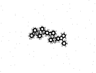 c1ccc(C2c3ccccc3-c3cc4c(cc32)Oc2cccc3c2B4c2cccc4c5cc6c7cccc8c7n(c6cc5n-3c24)-c2cccc3c2B8c2cccc4c5ccccc5n-3c24)cc1